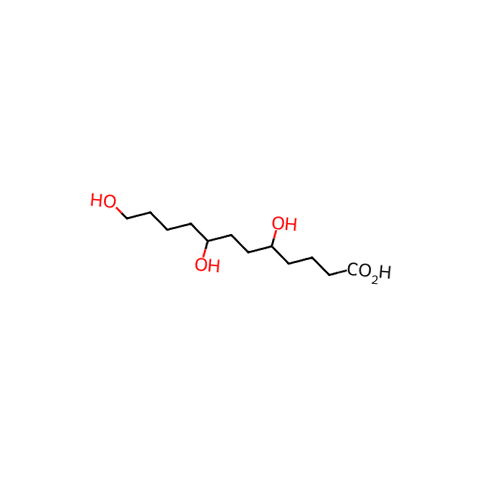 O=C(O)CCCC(O)CCC(O)CCCCO